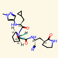 Cn1cc(N[C@@H](CC2CC2)C(=O)N2[C@@H]3CC[C@H]([C@@H]2C(=O)N[C@@H](C#N)C[C@@H]2CCCNC2=O)C(F)(F)C3)cn1